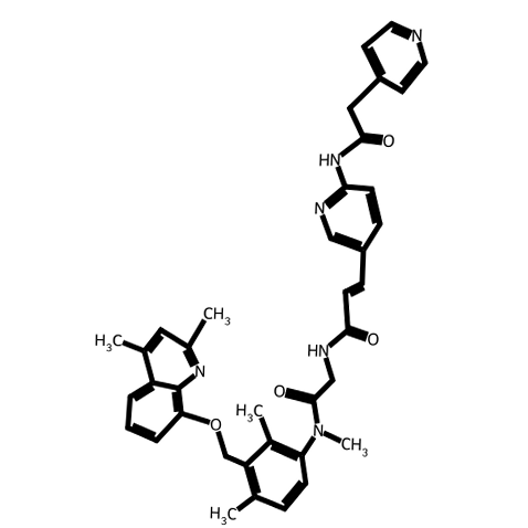 Cc1cc(C)c2cccc(OCc3c(C)ccc(N(C)C(=O)CNC(=O)/C=C/c4ccc(NC(=O)Cc5ccncc5)nc4)c3C)c2n1